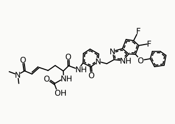 CN(C)C(=O)C=CCCC(NC(=O)O)C(=O)Nc1cccn(Cc2nc3cc(F)c(F)c(Oc4ccccc4)c3[nH]2)c1=O